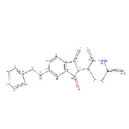 C=C1CCC(N2C(=O)c3ccc(NCc4ccccc4)cc3C2=O)C(=O)N1